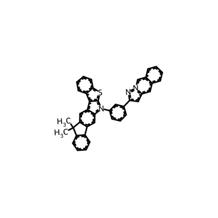 CC1(C)c2ccccc2-c2cc3c(cc21)c1c2ccccc2sc1n3-c1cccc(-c2cc3cc4ccccc4cn3n2)c1